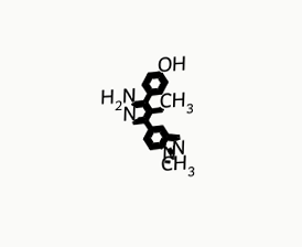 CCc1c(-c2ccc3c(cnn3C)c2)cnc(N)c1-c1ccc(O)cc1